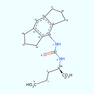 O=C(O)CC[C@@H](NC(=O)Nc1c2c(cc3c1CCC3)CCC2)C(=O)O